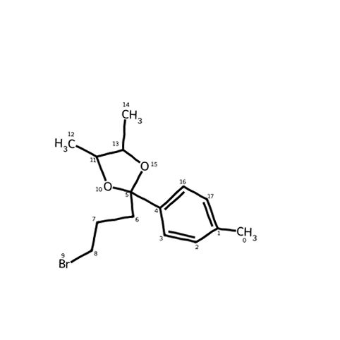 Cc1ccc(C2(CCCBr)OC(C)C(C)O2)cc1